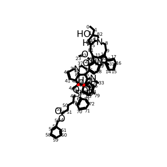 CC[C@]1(O)C[C@@H]2CN(CCc3c([nH]c4ccccc34)[C@@](C(=O)OC)(c3cc4c(cc3OC)N(C)C3[C@]45CCN4CC=C[C@@](CC)([C@@H](O[Si](CCCCC(=O)OCc6ccccc6)(c6ccccc6)c6ccccc6)[C@]3(O)C(=O)OC)[C@H]45)C2)C1